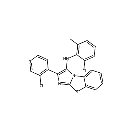 Cc1cccc(Cl)c1Nc1c(-c2ccncc2Cl)nc2sc3ccccc3n12